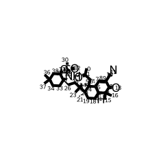 CC(=O)C[C@]1(C)[C@@]2(C)C=C(C#N)C(=O)C(C)(C)[C@@H]2CC[C@@]1(C)C(C)(C)CC[C@@]1(NS(C)(=O)=O)CCC(C)(C)CC1C